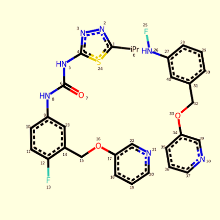 CC(C)c1nnc(NC(=O)Nc2ccc(F)c(COc3cccnc3)c2)s1.FNc1cccc(COc2cccnc2)c1